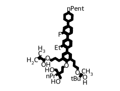 C=C(C)C(O)OCCCc1cc(-c2ccc(-c3ccc(C4CCC(CCCCC)CC4)cc3F)cc2CC)cc(CCCOC(C)(O)C(C)(C)C)c1OCCC(CO)(CO)CCC